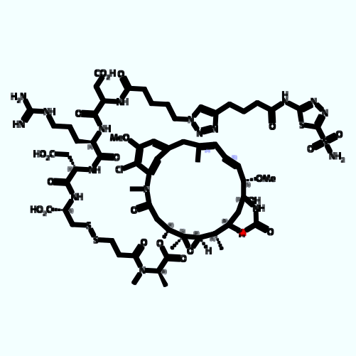 COc1cc2cc(c1Cl)N(C)C(=O)C[C@@H](OC(=O)[C@@H](C)N(C)C(=O)CCSSC[C@@H](NC(=O)[C@H](CC(=O)O)NC(=O)[C@@H](CCCNC(=N)N)NC(=O)C(CC(=O)O)NC(=O)CCCCn1cc(CCCC(=O)Nc3nnc(S(N)(=O)=O)s3)nn1)C(=O)O)[C@]1(C)O[C@@H]1[C@@H](C)[C@H]1C[C@](O)(NC(=O)O1)[C@@H](OC)/C=C/C=C(\C)C2